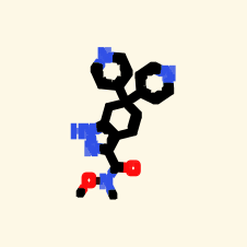 CON(C)C(=O)c1n[nH]c2c1C=CC(c1ccncc1)(c1ccncc1)C2